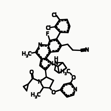 COc1cc(OC2CC(c3cc4c(C)nc5c(F)c(-c6cccc(Cl)c6Cl)c(CCC#N)cc5c4n3C3C4CNC3C4)N(C(=O)C3CC3)C2C)ccn1